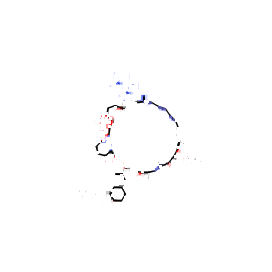 CO[C@@H]1C[C@@H](CC(C)[C@@H]2CC(=O)[C@H](C)/C=C(\C)[C@@H](O)[C@@H](OC)C(=O)[C@H](C)C[C@H](C)/C=C/C=C/C=C(/C)[C@@H](NC(=N)NC(=N)N)C[C@@H]3CC[C@@H](C)[C@@](O)(O3)C(=O)C(=O)N3CCCC[C@H]3C(=O)O2)CC[C@H]1O